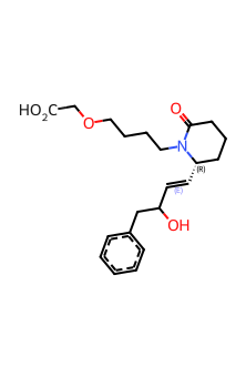 O=C(O)COCCCCN1C(=O)CCC[C@@H]1/C=C/C(O)Cc1ccccc1